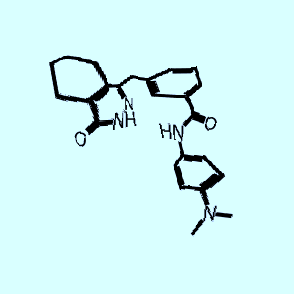 CN(C)c1ccc(NC(=O)c2cccc(Cc3n[nH]c(=O)c4c3CCCC4)c2)cc1